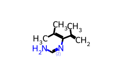 C=C(C)C(/N=C\N)=C(C)C